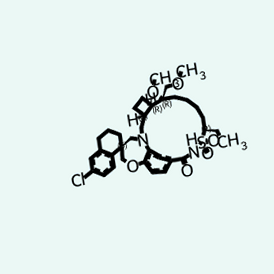 CC[C@@H]1CCCC[C@@](COC)(OC)[C@@H]2CC[C@H]2CN2C[C@@]3(CCCc4cc(Cl)ccc43)COc3ccc(cc32)C(=O)NS1(=O)=O